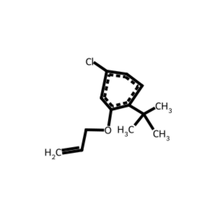 C=CCOc1cc(Cl)ccc1C(C)(C)C